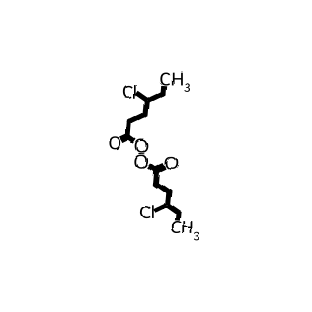 CCC(Cl)CCC(=O)OOC(=O)CCC(Cl)CC